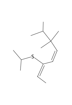 C/C=C(\C=C/C(C)(C)C(C)C)SC(C)C